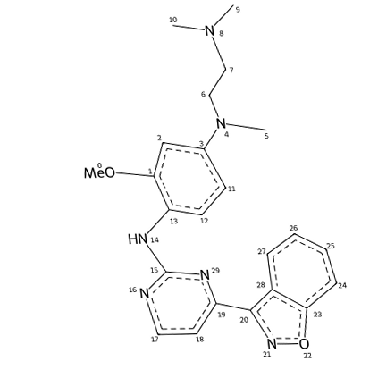 COc1cc(N(C)CCN(C)C)ccc1Nc1nccc(-c2noc3ccccc23)n1